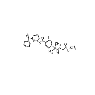 COC(=O)CCNC(C)(C)c1ccc(-c2nc3ccc(C4(c5ccccc5)C=C4)nc3s2)c(F)c1